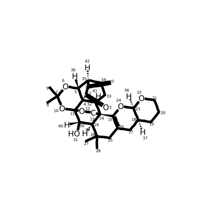 C=C1C(=O)[C@@]23[C@@H]4OC(C)(C)OC25OC[C@]2(C6=C(C[C@@H]7CCCO[C@@H]7O6)CC(C)(C)[C@H]2[C@@H]5O)[C@@H]3CC[C@@H]14